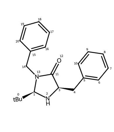 CC(C)(C)[C@@H]1N[C@H](Cc2ccccc2)C(=O)N1Cc1ccccc1